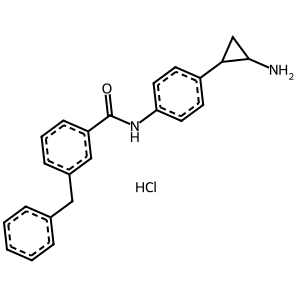 Cl.NC1CC1c1ccc(NC(=O)c2cccc(Cc3ccccc3)c2)cc1